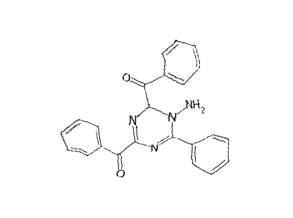 NN1C(c2ccccc2)=NC(C(=O)c2ccccc2)=NC1C(=O)c1ccccc1